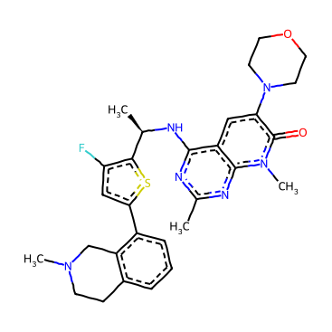 Cc1nc(N[C@H](C)c2sc(-c3cccc4c3CN(C)CC4)cc2F)c2cc(N3CCOCC3)c(=O)n(C)c2n1